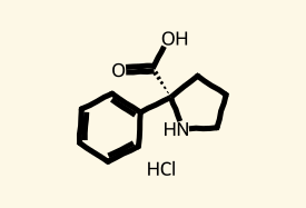 Cl.O=C(O)[C@]1(c2ccccc2)CCCN1